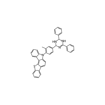 Cc1cc(C2N=C(c3ccccc3)NC(c3ccccc3)N2)ccc1-n1c2ccccc2c2c3sc4ccccc4c3ccc21